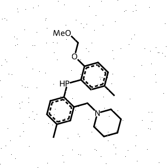 COCOc1ccc(C)cc1Pc1ccc(C)cc1CN1CCCCC1